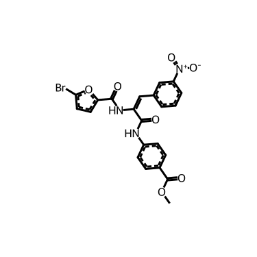 COC(=O)c1ccc(NC(=O)/C(=C\c2cccc([N+](=O)[O-])c2)NC(=O)c2ccc(Br)o2)cc1